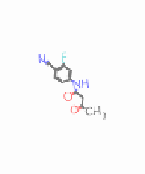 CC(=O)CC(=O)Nc1ccc(C#N)c(F)c1